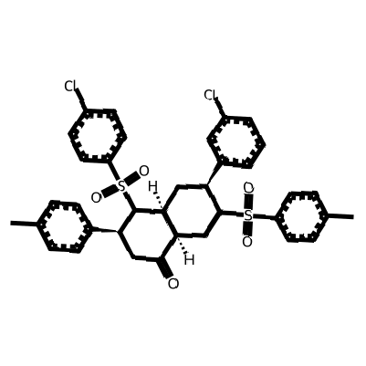 Cc1ccc([C@@H]2CC(=O)[C@@H]3CC(S(=O)(=O)c4ccc(C)cc4)[C@H](c4cccc(Cl)c4)C[C@@H]3C2S(=O)(=O)c2ccc(Cl)cc2)cc1